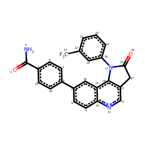 NC(=O)c1ccc(-c2ccc3ncc4c(c3c2)N(c2cccc(C(F)(F)F)c2)C(=O)C4)cc1